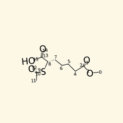 COC(=O)CCCC[C@H](SC(C)=O)C(=O)O